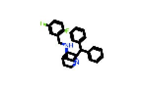 Fc1ccc(F)c(CNC2C3CCN(CC3)C2C(c2ccccc2)c2ccccc2)c1